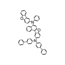 c1ccc(-c2ccc(N(c3ccc(-c4ccccc4)cc3)c3ccc4oc5cc(N(c6ccccc6)c6ccc7oc8ccccc8c7c6)c6ccccc6c5c4c3)cc2)cc1